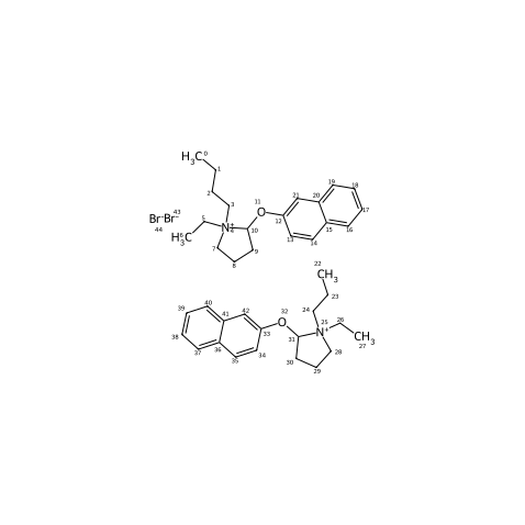 CCCC[N+]1(CC)CCCC1Oc1ccc2ccccc2c1.CCC[N+]1(CC)CCCC1Oc1ccc2ccccc2c1.[Br-].[Br-]